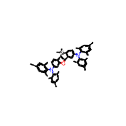 Cc1cc(C)c(N(c2ccc3c(c2)-c2oc4cc(N(c5c(C)cc(C)cc5C)c5c(C)cc(C)cc5C)ccc4c2[Si]3(C)C)c2c(C)cc(C)cc2C)c(C)c1